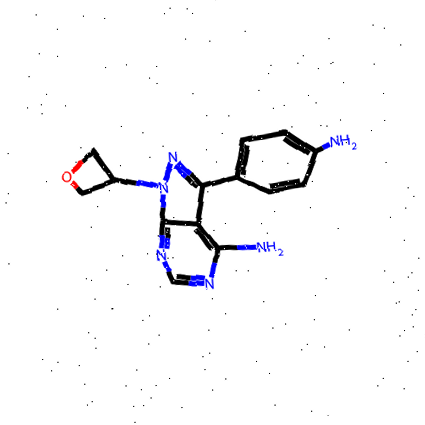 Nc1ccc(-c2nn(C3COC3)c3ncnc(N)c23)cc1